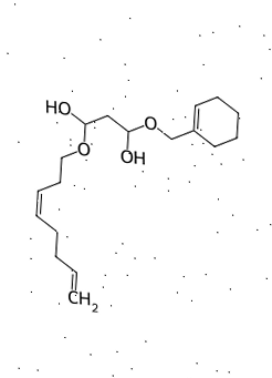 C=CCC/C=C\CCOC(O)CC(O)OCC1=CCCCC1